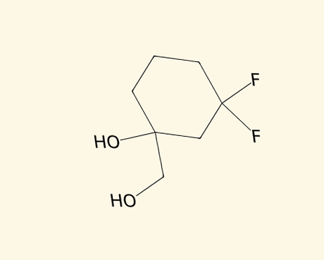 OCC1(O)CCCC(F)(F)C1